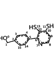 OCc1ccc(-c2nccc(S)c2S)cc1